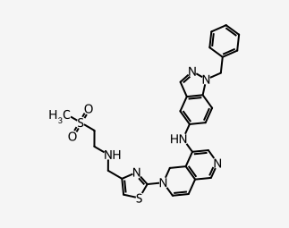 CS(=O)(=O)CCNCc1csc(N2C=Cc3cncc(Nc4ccc5c(cnn5Cc5ccccc5)c4)c3C2)n1